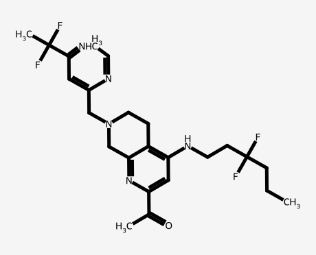 C/C=N\C(=C/C(=N)C(C)(F)F)CN1CCc2c(NCCC(F)(F)CCC)cc(C(C)=O)nc2C1